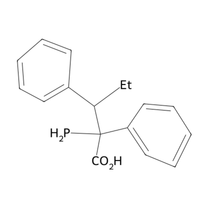 CCC(c1ccccc1)C(P)(C(=O)O)c1ccccc1